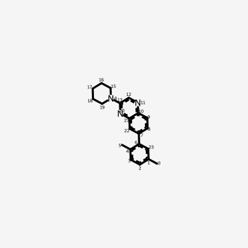 Cc1ccc(C)c(-c2ccc3ncc(N4CCCCC4)nc3c2)c1